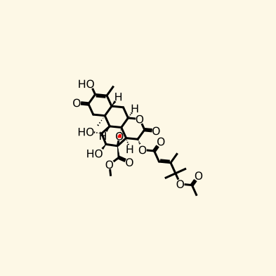 COC(=O)[C@]12OC[C@]34[C@H]([C@@H](O)[C@@H]1O)[C@@]1(C)CC(=O)C(O)=C(C)[C@@H]1C[C@H]3OC(=O)[C@H](OC(=O)/C=C(\C)C(C)(C)OC(C)=O)[C@@H]24